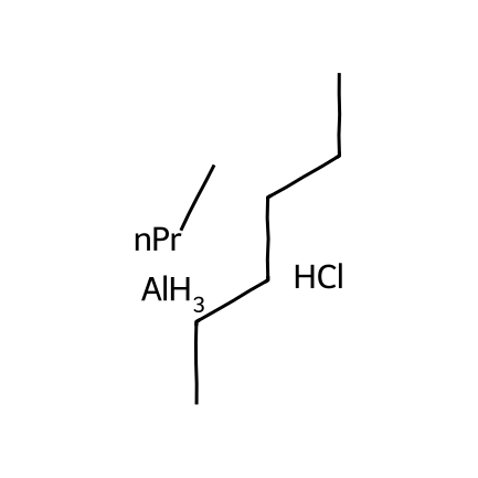 CCCC.CCCCCC.Cl.[AlH3]